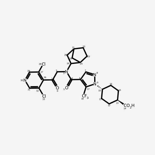 O=C(CN(C(=O)c1cnn([C@H]2CC[C@H](C(=O)O)CC2)c1C(F)(F)F)C1CC2CCC1C2)c1c(Cl)cncc1Cl